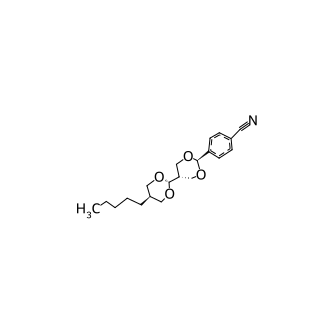 CCCCC[C@H]1CO[C@H]([C@H]2CO[C@H](c3ccc(C#N)cc3)OC2)OC1